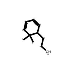 CC1(C)C=CC=CC1CCO